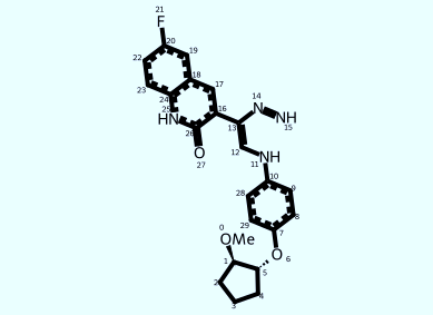 CO[C@@H]1CCC[C@H]1Oc1ccc(N/C=C(\N=N)c2cc3cc(F)ccc3[nH]c2=O)cc1